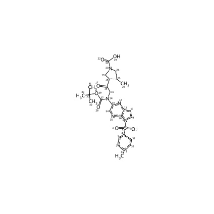 Cc1ccc(S(=O)(=O)n2ccc3nc(N(CC(=O)C4CN(C(=O)O)CC4C)C(=O)OC(C)(C)C)cnc32)cc1